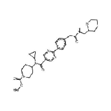 CC(C)(C)OC(=O)N1CCC(N(C(=O)c2cnc(-c3ccc(CC(=O)NCC4CCCCO4)cc3)nc2)C2CC2)CC1